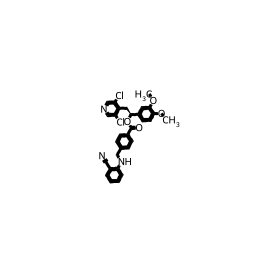 COc1ccc([C@H](Cc2c(Cl)cncc2Cl)OC(=O)c2ccc(CNc3ccccc3C#N)cc2)cc1OC